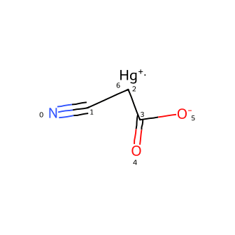 N#CCC(=O)[O-].[Hg+]